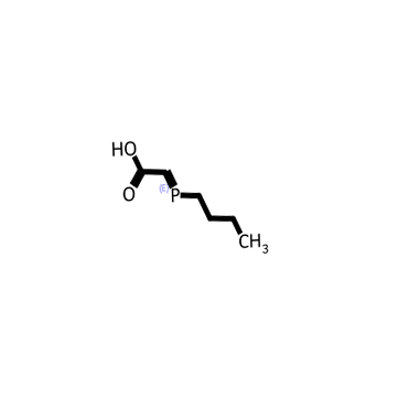 CCCC/P=C/C(=O)O